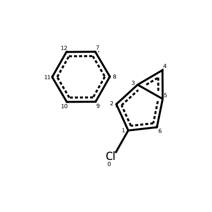 Clc1[c]c2cc-2c1.[c]1ccccc1